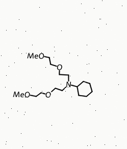 COCCOCCN(CCOCCOC)C1CCCCC1